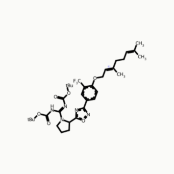 CC(C)=CCC/C(C)=C/COc1ccc(-c2noc(C3CCCN3C(=NC(=O)OC(C)(C)C)NC(=O)OC(C)(C)C)n2)cc1C(F)(F)F